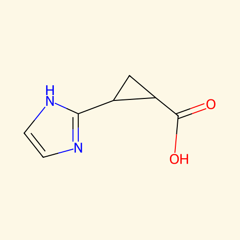 O=C(O)C1CC1c1ncc[nH]1